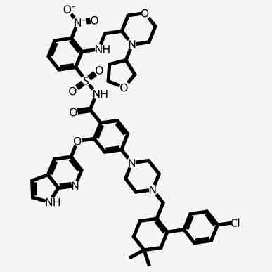 CC1(C)CCC(CN2CCN(c3ccc(C(=O)NS(=O)(=O)c4cccc([N+](=O)[O-])c4NCC4COCCN4C4CCOC4)c(Oc4cnc5[nH]ccc5c4)c3)CC2)=C(c2ccc(Cl)cc2)C1